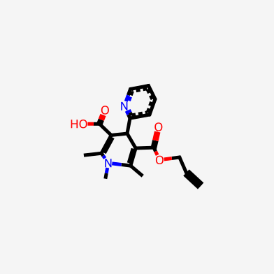 C#CCOC(=O)C1=C(C)N(C)C(C)=C(C(=O)O)C1c1ccccn1